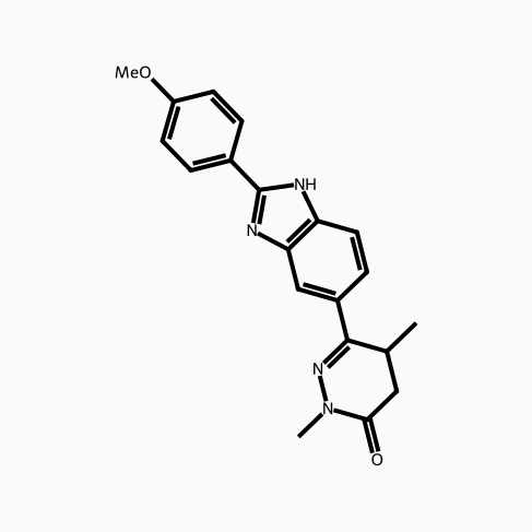 COc1ccc(-c2nc3cc(C4=NN(C)C(=O)CC4C)ccc3[nH]2)cc1